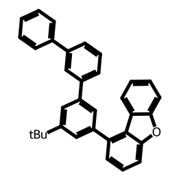 CC(C)(C)c1cc(-c2cccc(-c3ccccc3)c2)cc(-c2cccc3oc4ccccc4c23)c1